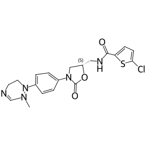 CN1C=NCCN1c1ccc(N2C[C@H](CNC(=O)c3ccc(Cl)s3)OC2=O)cc1